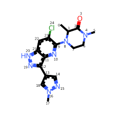 CC1C(=O)N(C)CCN1c1nc2c(-c3cnn(C)c3)n[nH]c2cc1Cl